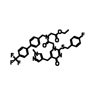 CCOC(=O)CN(Cc1ccc(-c2ccc(C(F)(F)F)cc2)cc1)C(=O)Cn1cc(Cc2cnn(C)c2)c(=O)nc1SCc1ccc(F)cc1